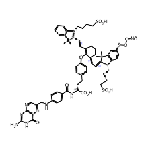 CC1(C)C(/C=C/C2=C(Oc3ccc(CC[C@H](NC(=O)c4ccc(NCc5cnc6nc(N)[nH]c(=O)c6n5)cc4)C(=O)O)cc3)C(=C/C=C3/C(CCCCS(=O)(=O)O)c4ccc(SOON=O)cc4C3(C)C)/CCC2)=[N+](CCCCS(=O)(=O)O)c2ccccc21